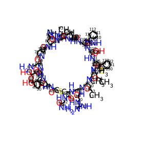 CCCC[C@H]1C(=O)N(C)[C@@H](CCCC)C(=O)N[C@@H](CCCNC(=N)N)C(=O)N[C@H](C(=O)NCC(N)=O)CSCC(=O)N[C@@H](Cc2ccc(O)cc2)C(=O)N(C)[C@@H](CCC(=O)O)C(=O)N[C@@H](CC(N)=O)C(=O)N2CCC[C@H]2C(=O)N[C@@H](Cc2cnc[nH]2)C(=O)N[C@@H](CC(C)C)C(=O)N2CCC[C@H]2C(=O)N[C@@H](Cc2c[nH]c3ccccc23)C(=O)N[C@@H](CO)C(=O)N[C@@H](Cc2csc3ccccc23)C(=O)N1C